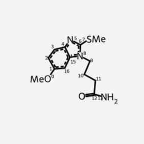 COc1ccc2nc(SC)n(CCCC(N)=O)c2c1